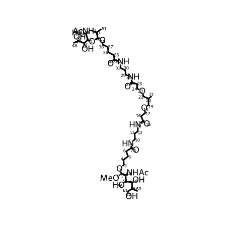 CO[C@@H](OCCCCC(=O)NCCCNC(=O)CCOCC(C)COCCC(=O)NCCCNC(=O)CCCCOC(OC(CO)C(O)C(C)O)C(C)NC(C)=O)C(NC(C)=O)C(O)C(O)C(C)CO